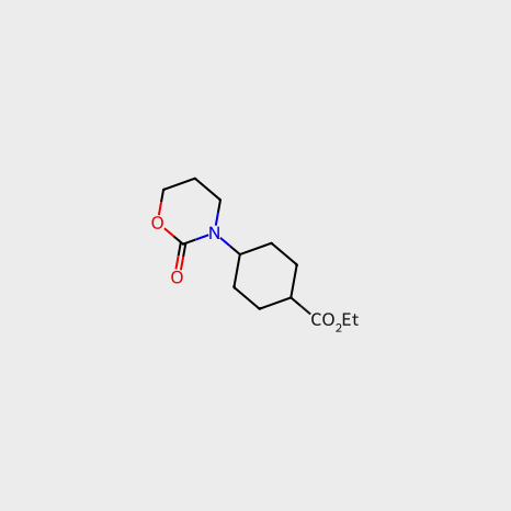 CCOC(=O)C1CCC(N2CCCOC2=O)CC1